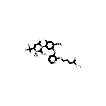 C=C1N(C)C(C(F)(F)F)=CC(=O)N1c1cc(Oc2cccnc2OCCCC(C)=O)c(N)cc1F